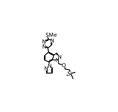 CSc1ncc(-c2ccc(-n3cccn3)c3c2cnn3COCC[Si](C)(C)C)nn1